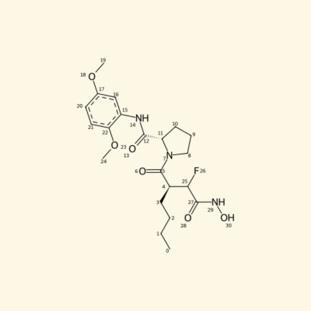 CCCC[C@@H](C(=O)N1CCC[C@H]1C(=O)Nc1cc(OC)ccc1OC)C(F)C(=O)NO